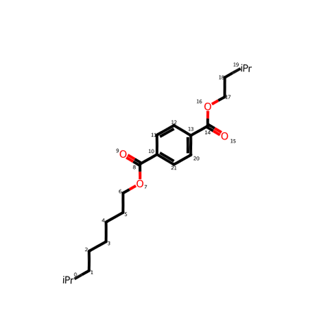 CC(C)CCCCCCOC(=O)c1ccc(C(=O)OCCC(C)C)cc1